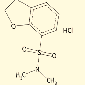 CN(C)S(=O)(=O)c1cccc2c1OCC2.Cl